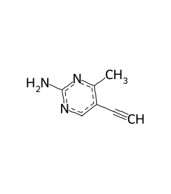 C#Cc1cnc(N)nc1C